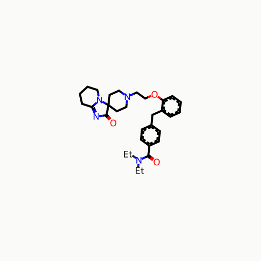 CCN(CC)C(=O)c1ccc(Cc2ccccc2OCCN2CCC3(CC2)C(=O)N=C2CCCCN23)cc1